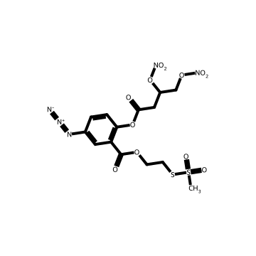 CS(=O)(=O)SCCOC(=O)c1cc(N=[N+]=[N-])ccc1OC(=O)CC(CO[N+](=O)[O-])O[N+](=O)[O-]